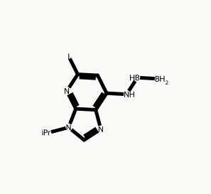 BBNc1cc(I)nc2c1ncn2C(C)C